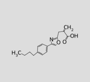 C=C(Cc1nc(-c2ccc(CCCC)cc2)co1)C(=O)O